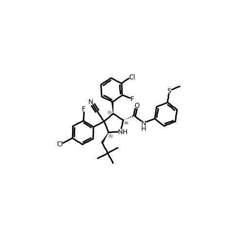 CSc1cccc(NC(=O)[C@@H]2N[C@@H](CC(C)(C)C)C(C#N)(c3ccc(Cl)cc3F)[C@H]2c2cccc(Cl)c2F)c1